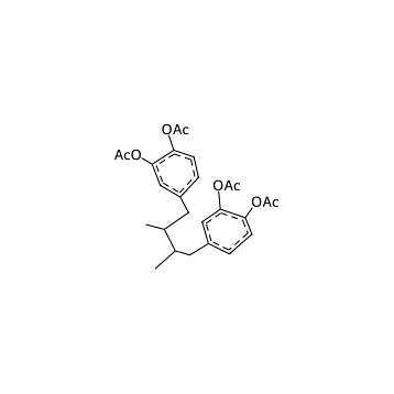 CC(=O)Oc1ccc(CC(C)C(C)Cc2ccc(OC(C)=O)c(OC(C)=O)c2)cc1OC(C)=O